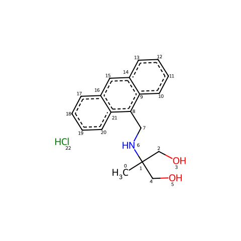 CC(CO)(CO)NCc1c2ccccc2cc2ccccc12.Cl